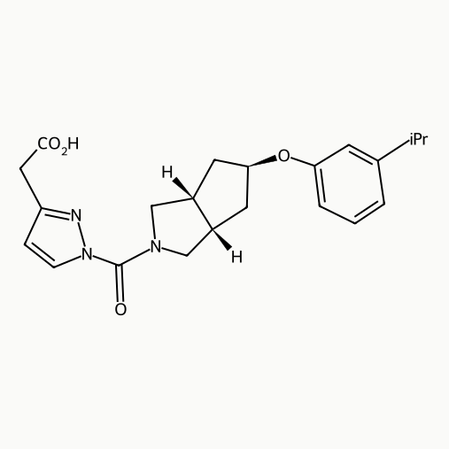 CC(C)c1cccc(O[C@H]2C[C@@H]3CN(C(=O)n4ccc(CC(=O)O)n4)C[C@@H]3C2)c1